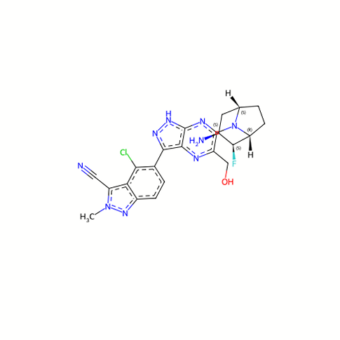 Cn1nc2ccc(-c3n[nH]c4nc(N5[C@H]6CC[C@@H]5[C@@H](F)[C@@H](N)C6)c(CO)nc34)c(Cl)c2c1C#N